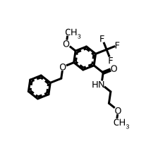 COCCNC(=O)c1cc(OCc2ccccc2)c(OC)cc1C(F)(F)F